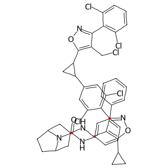 O=C(Nc1cccc(-c2ccccc2)c1)N1C2CCC1CC(NCc1c(-c3c(Cl)cc(C4CC4c4onc(-c5c(Cl)cccc5Cl)c4CCl)cc3Cl)noc1C1CC1)C2